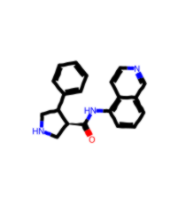 O=C(Nc1cccc2cnccc12)[C@H]1CNCC1c1ccccc1